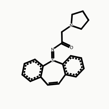 O=C(CN1CCCC1)N=S1c2ccccc2C=Cc2ccccc21